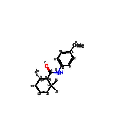 COc1ccc(NC(=O)[C@@H]2[C@@H](C)CCCC2(C)C)cc1